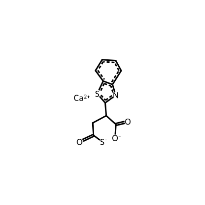 O=C([S-])CC(C(=O)[O-])c1nc2ccccc2s1.[Ca+2]